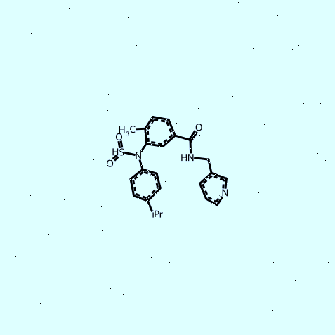 Cc1ccc(C(=O)NCc2cccnc2)cc1N(c1ccc(C(C)C)cc1)[SH](=O)=O